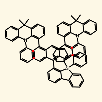 CC1(C)c2ccccc2N(c2ccccc2)c2c(-c3cccc4c(-c5cccc6c5[Si](c5ccccc5)(c5ccccc5)c5ccccc5-6)c5cccc(-c6cccc7c6N(c6ccccc6)c6ccccc6C7(C)C)c5cc34)cccc21